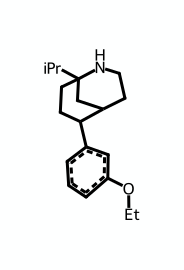 CCOc1cccc(C2CCC3(C(C)C)CC2CCN3)c1